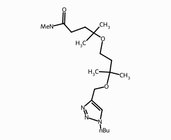 CCCCn1cc(COC(C)(C)CCOC(C)(C)CCC(=O)NC)nn1